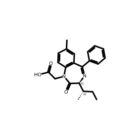 CC[C@H](C)[C@@H]1N=C(c2ccccc2)c2cc(C)ccc2N(CC(=O)O)C1=O